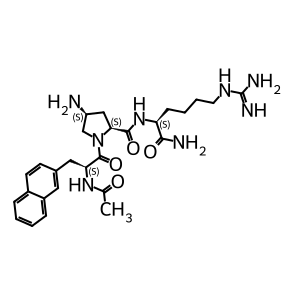 CC(=O)N[C@@H](Cc1ccc2ccccc2c1)C(=O)N1C[C@@H](N)C[C@H]1C(=O)N[C@@H](CCCCNC(=N)N)C(N)=O